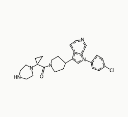 O=C(N1CCC(c2cn(-c3ccc(Cl)cc3)c3cnccc23)CC1)C1(N2CCNCC2)CC1